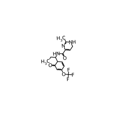 CCC(NC(=O)C1=CCNC(C)=N1)C1C=CC(OC(F)(F)F)=CC1=O